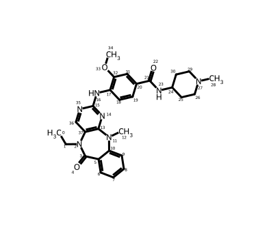 CCN1C(=O)c2ccccc2N(C)c2nc(Nc3ccc(C(=O)NC4CCN(C)CC4)cc3OC)ncc21